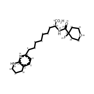 O=C(O)[C@H](CCCCCCCc1ccc2c(n1)NCCC2)NC(=O)C1(F)CCOCC1